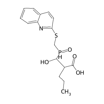 CCCC(C(=O)O)C(O)[PH](=O)CSc1ccc2ccccc2n1